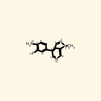 Cn1ncc2c(-c3ccc(N)c(F)c3)cncc21